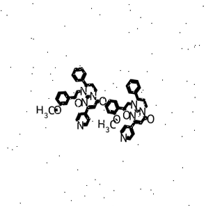 COc1cccc(C(=O)CN2c3nc(-c4ccncc4)cc(=O)n3CCC2c2ccccc2)c1.COc1ccccc1C(=O)CN1c2nc(-c3ccncc3)cc(=O)n2CCC1c1ccccc1